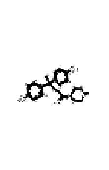 CN1CCN(C(=O)CCC(C)(c2ccc(O)cc2)c2ccc(O)cc2)CC1